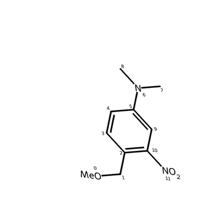 COCc1ccc(N(C)C)cc1[N+](=O)[O-]